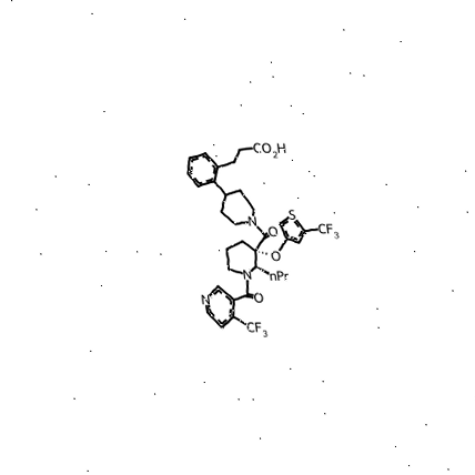 CCC[C@H]1N(C(=O)c2cnccc2C(F)(F)F)CCC[C@@]1(Oc1csc(C(F)(F)F)c1)C(=O)N1CCC(c2ccccc2CCC(=O)O)CC1